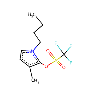 CCCCn1ccc(C)c1OS(=O)(=O)C(F)(F)F